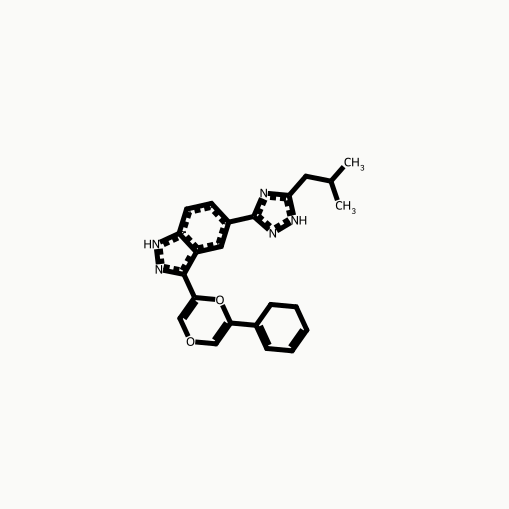 CC(C)Cc1nc(-c2ccc3[nH]nc(C4=COC=C(C5=CC=CCC5)O4)c3c2)n[nH]1